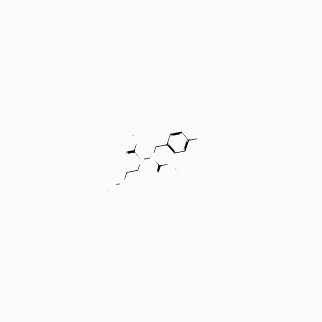 CC(C)(C)OC(=O)N(CCOC(F)(F)F)N(Cc1ccc(C(=O)O)cc1)C(=O)OC(C)(C)C